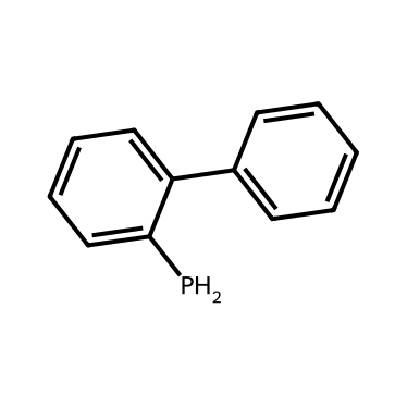 Pc1ccccc1-c1ccccc1